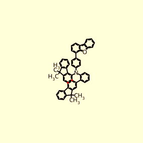 CC1(C)c2ccccc2-c2ccc(-c3ccccc3N(c3ccc(-c4cccc5c4oc4ccccc45)cc3)c3cccc4c3-c3ccccc3C4(C)C)cc21